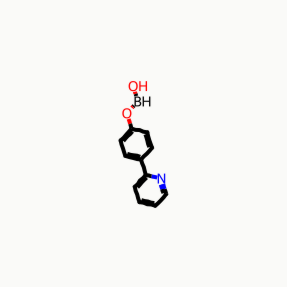 OBOc1ccc(-c2ccccn2)cc1